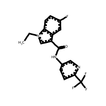 CCn1cc(C(=O)Nc2ccc(C(F)(F)F)nc2)c2cc(F)ccc21